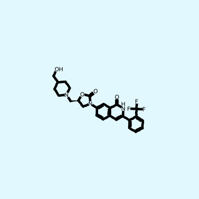 O=C1O[C@H](CN2CCC(CO)CC2)CN1c1ccc2cc(-c3ccccc3C(F)(F)F)[nH]c(=O)c2c1